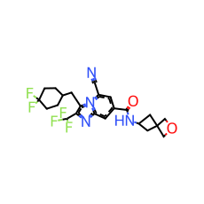 N#Cc1cc(C(=O)NC2CC3(COC3)C2)cc2nc(C(F)(F)F)c(CC3CCC(F)(F)CC3)n12